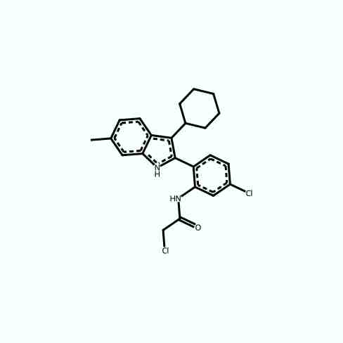 Cc1ccc2c(C3CCCCC3)c(-c3ccc(Cl)cc3NC(=O)CCl)[nH]c2c1